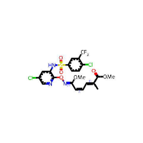 COC(=O)/C(C)=C/C=C\C(=N\Oc1ncc(Cl)cc1NS(=O)(=O)c1ccc(Cl)c(C(F)(F)F)c1)OC